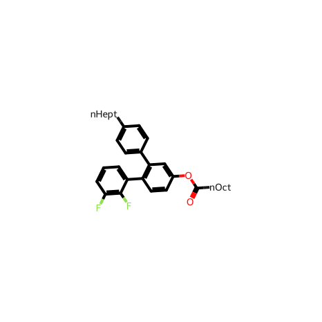 CCCCCCCCC(=O)Oc1ccc(-c2cccc(F)c2F)c(-c2ccc(CCCCCCC)cc2)c1